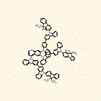 CC1(C)c2ccccc2-c2ccc(-n3c4ccccc4c4cc(-c5ccc6c(c5)c5ccccc5n6-c5cc6nccc(-n7c8ccccc8c8cc(-c9ccc%10c(c9)c9ccccc9n%10-c9ccc%10c(c9)C(C)(C)c9ccccc9-%10)ccc87)c6cc5-n5c6ccccc6c6cc(-c7ccc8c(c7)c7ccccc7n8-c7ccc8c(c7)C(C)(C)c7ccccc7-8)ccc65)ccc43)cc21